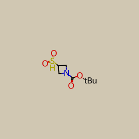 CC(C)(C)OC(=O)N1CC([SH](=O)=O)C1